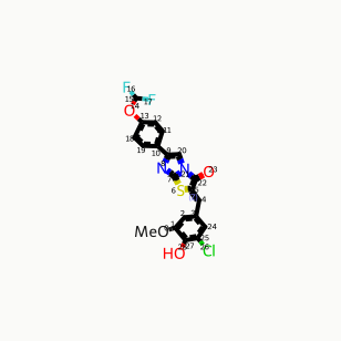 COc1cc(/C=c2\sc3nc(-c4ccc(OC(F)F)cc4)cn3c2=O)cc(Cl)c1O